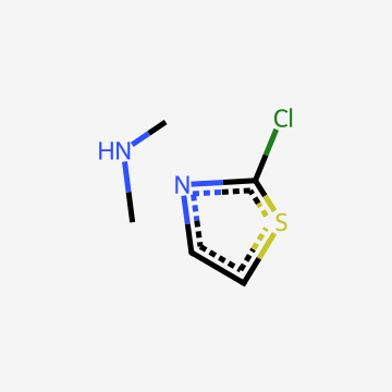 CNC.Clc1nccs1